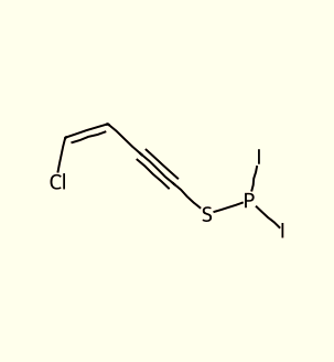 Cl/C=C\C#CSP(I)I